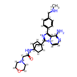 CNCc1ccc(-c2nc(C34CCC(NC(=O)CN5CCOCC5)(CC3)C4)n3ccnc(N)c23)cc1